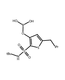 CC(C)Cc1cc(OB(O)O)c(S(=O)(=O)NC(C)(C)C)s1